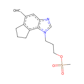 CS(=O)(=O)OCCCn1cnc2cc(C=O)c3c(c21)CCC3